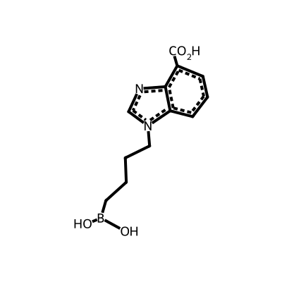 O=C(O)c1cccc2c1ncn2CCCCB(O)O